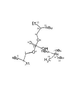 CCCCC(CC)COP(=O)(O)OCC(CC)CCCC.CCCC[PH](C)(CCCC)CCCC